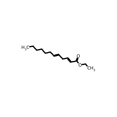 CCCCCCC=CCC=CC(=O)OCC